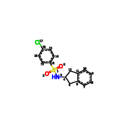 O=S(=O)(NC1Cc2c[c]ccc2C1)c1ccc(Cl)cc1